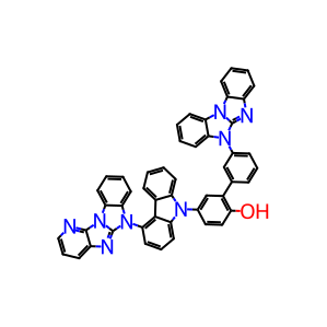 Oc1ccc(-n2c3ccccc3c3c(-n4c5ccccc5n5c6ncccc6nc45)cccc32)cc1-c1cccc(-n2c3ccccc3n3c4ccccc4nc23)c1